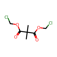 CC(C)(C(=O)OCCl)C(=O)OCCl